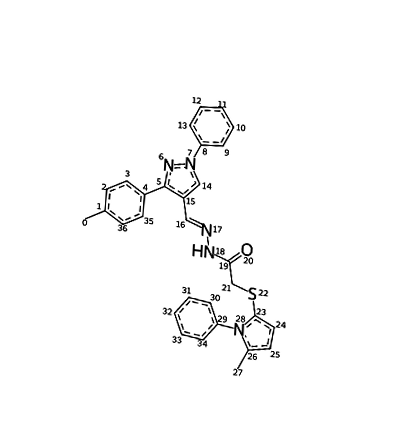 Cc1ccc(-c2nn(-c3ccccc3)cc2/C=N/NC(=O)CSc2ccc(C)n2-c2ccccc2)cc1